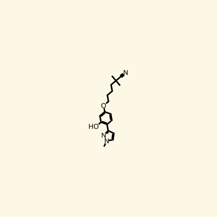 Cn1ccc(-c2ccc(OCCCCC(C)(C)C#N)cc2O)n1